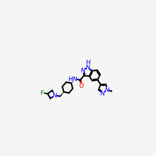 Cn1cc(-c2ccc3[nH]nc(C(=O)N[C@H]4CC[C@H](CN5CC(F)C5)CC4)c3c2)cn1